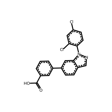 O=C(O)c1cccc(-c2ccc3cnn(-c4ccc(Cl)cc4Cl)c3c2)c1